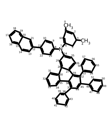 CC1=CC(C)CC(N(c2ccc(-c3ccc4ccccc4c3)cc2)c2ccc3c(c2)c2ccccc2c2c(-c4ccccc4)cc(-c4ccccc4)c(-c4ccccc4)c32)=C1